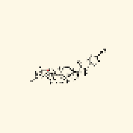 CCOC[C@@]1(O)CC[C@@]2(COC(C)C)[C@H](CC[C@H]3[C@@H]4CC[C@H](C(=O)Nc5ccc(C#N)cn5)[C@@]4(C)CC[C@@H]32)C1